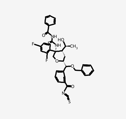 C[C@H](O)[C@@H]1C[C@H](C(OCc2ccccc2)c2cccc(C(=O)N=C=S)c2)OC[C@@]1(NC(=S)NC(=O)c1ccccc1)c1ccc(F)cc1F